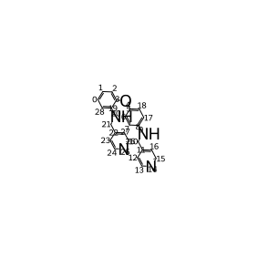 c1ccc(Oc2ccc(NCc3ccncc3)cc2)c(NCc2ccncc2)c1